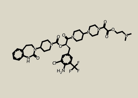 CN(C)CCOC(=O)C(=O)N1CCN(C2CCN(C(=O)[C@@H](Cc3cc(Cl)c(N)c(C(F)(F)F)c3)OC(=O)N3CCC(N4CCc5ccccc5NC4=O)CC3)CC2)CC1